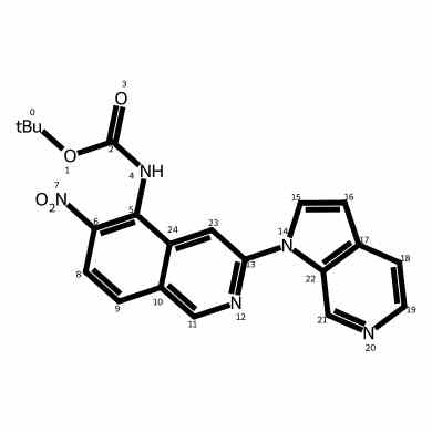 CC(C)(C)OC(=O)Nc1c([N+](=O)[O-])ccc2cnc(-n3ccc4ccncc43)cc12